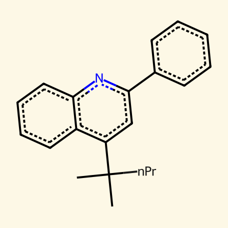 CCCC(C)(C)c1cc(-c2ccccc2)nc2ccccc12